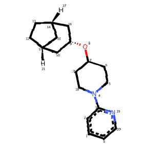 c1ccc(N2CCC(O[C@@H]3C[C@@H]4CC[C@@H](C4)C3)CC2)nc1